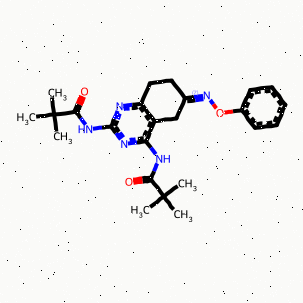 CC(C)(C)C(=O)Nc1nc2c(c(NC(=O)C(C)(C)C)n1)C/C(=N\Oc1ccccc1)CC2